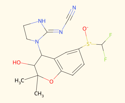 CC1(C)Oc2ccc([S+]([O-])C(F)F)cc2C(N2CCN/C2=N\C#N)C1O